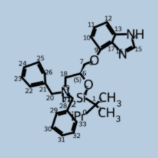 CC(C)C(C)(C)[SiH2]O[C@H](COc1cccc2[nH]cnc12)CN(Cc1ccccc1)Cc1ccccc1